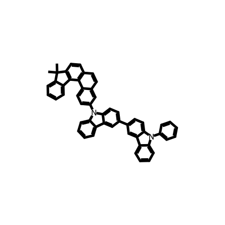 CC1(C)c2ccccc2-c2c1ccc1ccc3cc(-n4c5ccccc5c5cc(-c6ccc7c(c6)c6ccccc6n7-c6ccccc6)ccc54)ccc3c21